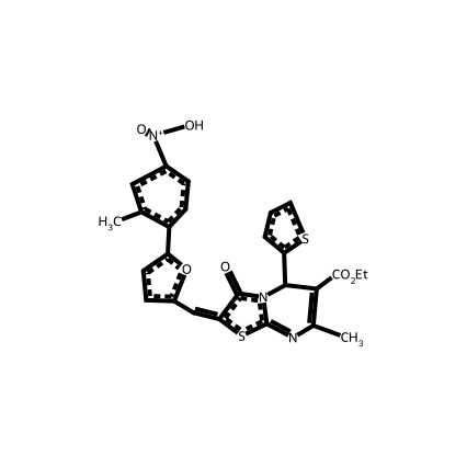 CCOC(=O)C1=C(C)N=c2s/c(=C/c3ccc(-c4ccc([N+](=O)O)cc4C)o3)c(=O)n2C1c1cccs1